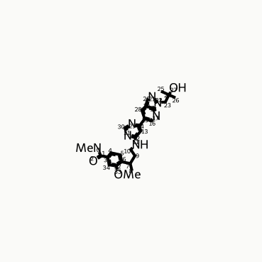 CNC(=O)c1ccc(C(C)CCNc2cc(-c3cnc4c(cnn4CC(C)(C)O)c3)ncn2)c(OC)c1